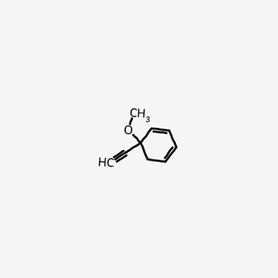 C#CC1(OC)C=CC=CC1